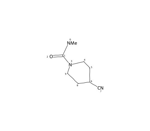 CNC(=O)N1CCC(C#N)CC1